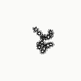 c1ccc(-c2ccc(-c3nc(-c4cc(-n5c6cc7ccccc7cc6c6cc7ccccc7cc65)c5c(c4)oc4ccccc45)nc(-c4ccc5oc6ccccc6c5c4)n3)cc2)cc1